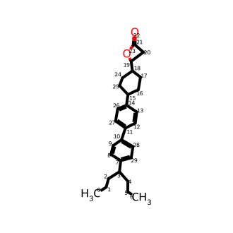 CCCC(CCC)c1ccc(-c2ccc(C3CCC(C4CC(=O)O4)CC3)cc2)cc1